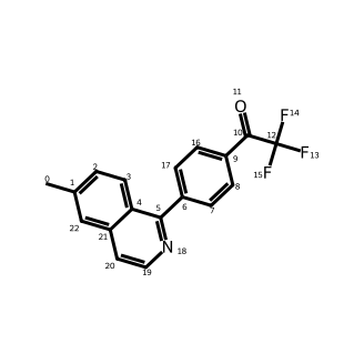 Cc1ccc2c(-c3ccc(C(=O)C(F)(F)F)cc3)nccc2c1